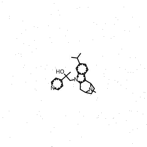 CC(C)c1ccc2c3c(n(CC(C)(O)c4ccncc4)c2c1)CC1CCC3N1C